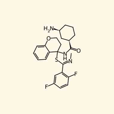 C/N=C(\SC1(NC(=O)[C@@H]2CCC[C@H](N)C2)CCOc2ccccc21)c1cc(F)ccc1F